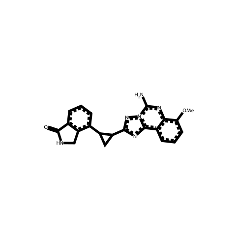 COc1cccc2c1nc(N)n1nc(C3CC3c3cccc4c3CNC4=O)nc21